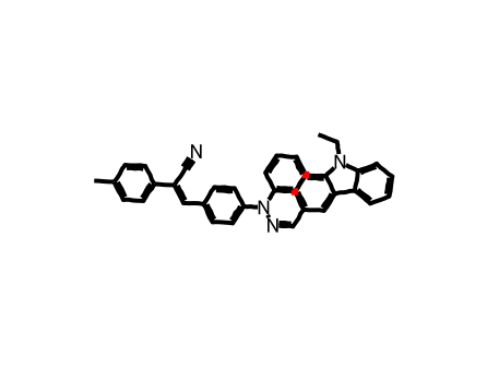 CCn1c2ccccc2c2cc(/C=N\N(c3ccccc3)c3ccc(/C=C(\C#N)c4ccc(C)cc4)cc3)ccc21